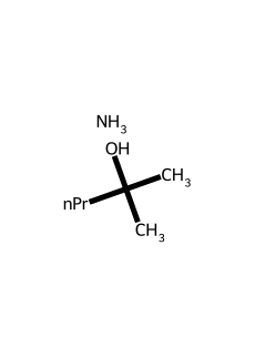 CCCC(C)(C)O.N